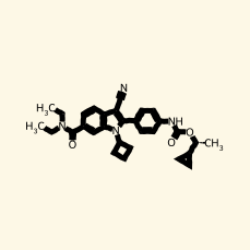 CCN(CC)C(=O)c1ccc2c(C#N)c(-c3ccc(NC(=O)O[C@H](C)C4CC4)cc3)n(C3CCC3)c2c1